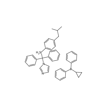 CC(C)Cc1ccc([SiH2]C(c2ccccc2)(c2ccccc2)n2ccnc2)cc1.c1ccc(B(c2ccccc2)C2CC2)cc1